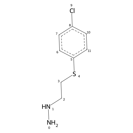 NNCCSc1ccc(Cl)cc1